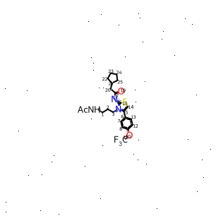 CC(=O)NCCCn1c(-c2ccc(OC(F)(F)F)cc2)cs/c1=N\C(=O)CC1CCCC1